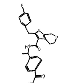 CC(NC(=O)c1c(Cc2ccc(F)cc2)sc2c1CCOC2)c1ccc(C(=O)O)cc1